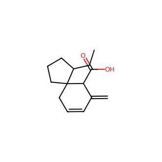 C=C1C=CCC2(CCCC2CC)C1C(=O)O